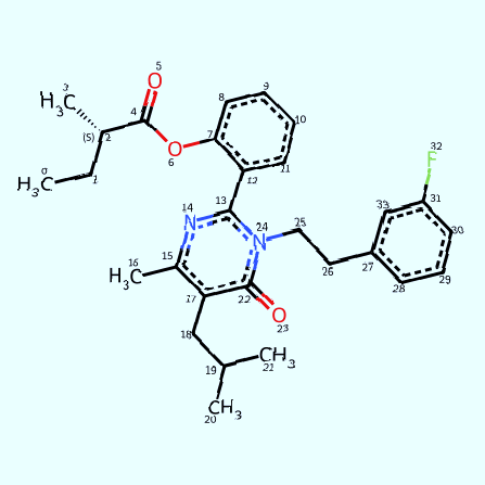 CC[C@H](C)C(=O)Oc1ccccc1-c1nc(C)c(CC(C)C)c(=O)n1CCc1cccc(F)c1